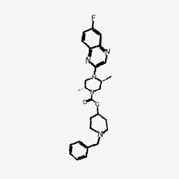 C[C@@H]1CN(c2cnc3cc(F)ccc3n2)[C@@H](C)CN1C(=O)OC1CCN(Cc2ccccc2)CC1